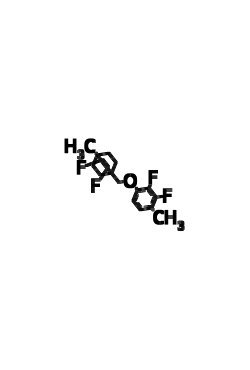 Cc1ccc(OCC23CCC(C)(CC2)C(F)=C3F)c(F)c1F